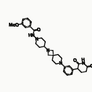 COc1cccc(C(=O)NN2CCC(N3CC4(CCN(c5cccc(C6CCC(=O)NC6=O)c5)CC4)C3)CC2)c1